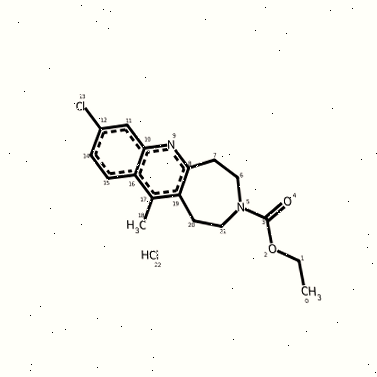 CCOC(=O)N1CCc2nc3cc(Cl)ccc3c(C)c2CC1.Cl